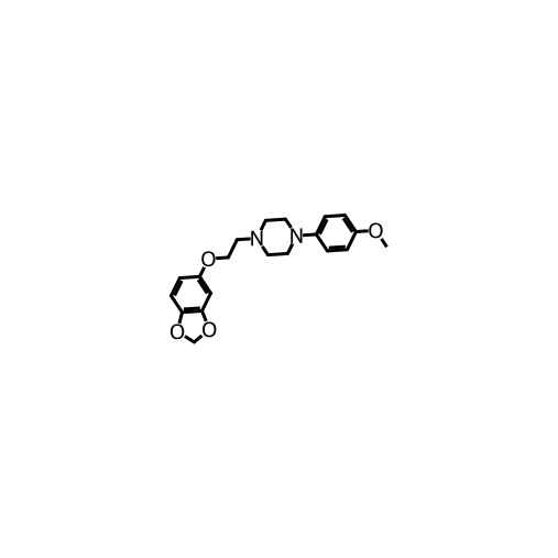 COc1ccc(N2CCN(CCOc3ccc4c(c3)OCO4)CC2)cc1